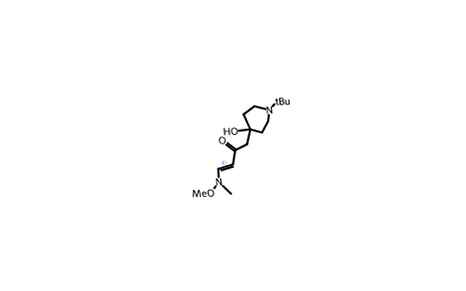 CON(C)/C=C/C(=O)CC1(O)CCN(C(C)(C)C)CC1